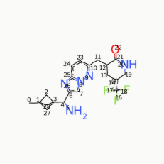 CC12CC(C(N)c3cn4nc(CC5C[C@@H](C(F)(F)F)CNC5=O)ccc4n3)(C1)C2